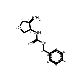 C=C1COCC1NC(=O)OCc1ccccc1